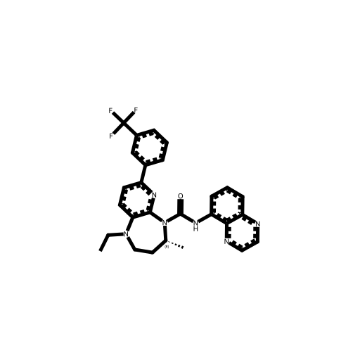 CCN1CC[C@@H](C)N(C(=O)Nc2cccc3nccnc23)c2nc(-c3cccc(C(F)(F)F)c3)ccc21